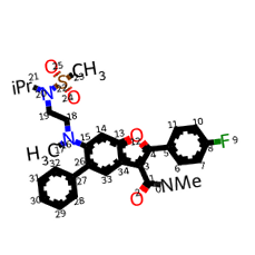 CNC(=O)c1c(-c2ccc(F)cc2)oc2cc(N(C)CCN(C(C)C)S(C)(=O)=O)c(-c3ccccc3)cc12